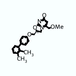 COCc1cc(=O)nc2n1C[C@@H](COc1ccc(-c3cccc(C)c3C)cc1)O2